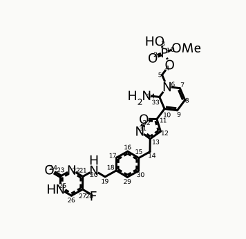 COP(=O)(O)OCN1C=CC=C(c2cc(Cc3ccc(CNc4nc(=O)[nH]cc4F)cc3)no2)C1N